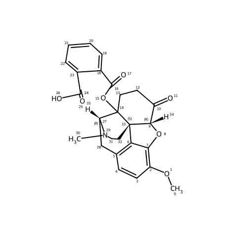 COc1ccc2c3c1O[C@H]1C(=O)CCC4(OC(=O)c5ccccc5C(=O)O)[C@@H](C2)N(C)CC[C@]314